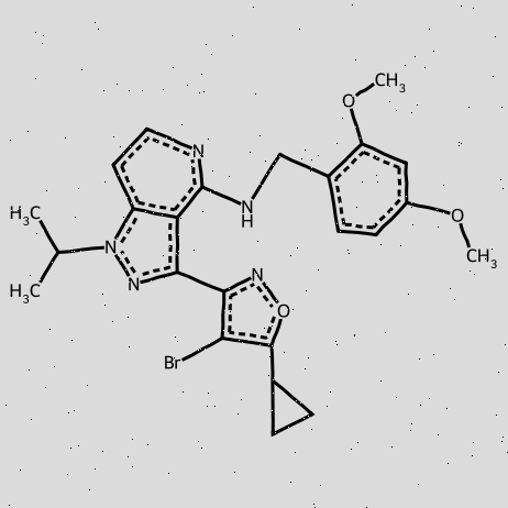 COc1ccc(CNc2nccc3c2c(-c2noc(C4CC4)c2Br)nn3C(C)C)c(OC)c1